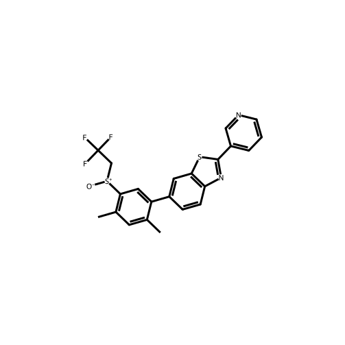 Cc1cc(C)c([S+]([O-])CC(F)(F)F)cc1-c1ccc2nc(-c3cccnc3)sc2c1